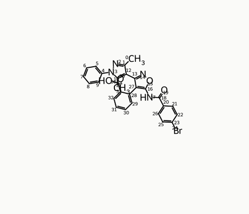 Cc1nn(-c2ccccc2)c(C)c1-c1noc(NC(=O)c2ccc(Br)cc2)c1-c1ccccc1C(=O)O